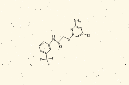 Nc1nc(Cl)cc(SCC(=O)Nc2cccc(C(F)(F)F)c2)n1